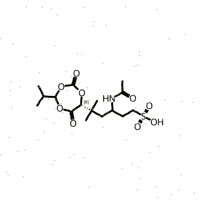 CC(=O)NC(CCS(=O)(=O)O)CC(C)(C)[C@H]1OC(=O)OC(C(C)C)OC1=O